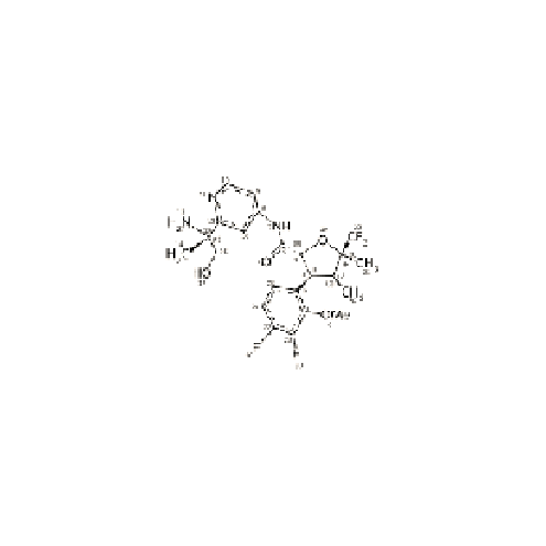 COc1c([C@H]2[C@H](C(=O)Nc3ccnc([C@@](C)(N)CO)c3)O[C@@](C)(C(F)(F)F)[C@H]2C)ccc(F)c1F